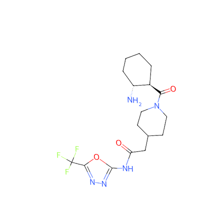 N[C@@H]1CCCC[C@H]1C(=O)N1CCC(CC(=O)Nc2nnc(C(F)(F)F)o2)CC1